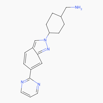 NCC1CCC(n2cc3ccc(-c4ncccn4)cc3n2)CC1